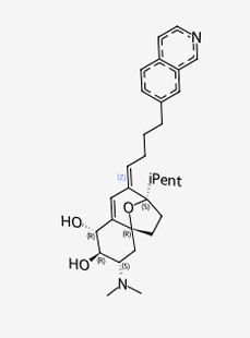 CCCC(C)[C@@]12CC[C@]3(C[C@H](N(C)C)[C@@H](O)[C@H](O)C3=C/C1=C/CCCc1ccc3ccncc3c1)O2